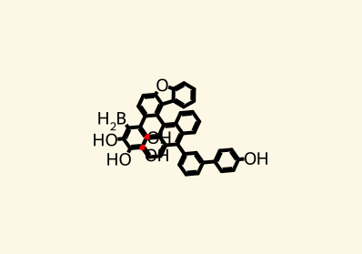 Bc1c(O)c(O)c(O)c(O)c1-c1ccc2oc3ccccc3c2c1-c1c2ccccc2c(-c2cccc(-c3ccc(O)cc3)c2)c2ccccc12